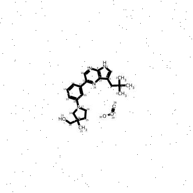 CC(C)(C)Cc1c[nH]c2ncc(-c3cccc(N4CCC(C)(CO)C4)c3)nc12.O=[O+][O-]